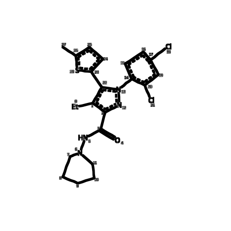 CCc1c(C(=O)NN2CCCCC2)nn(-c2ccc(Cl)cc2Cl)c1-c1ccc(C)s1